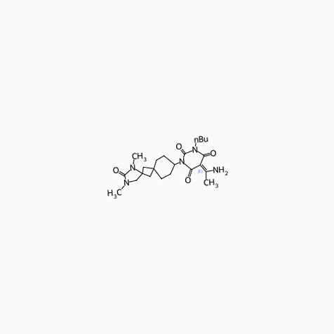 CCCCN1C(=O)/C(=C(/C)N)C(=O)N(C2CCC3(CC2)CC2(CN(C)C(=O)N2C)C3)C1=O